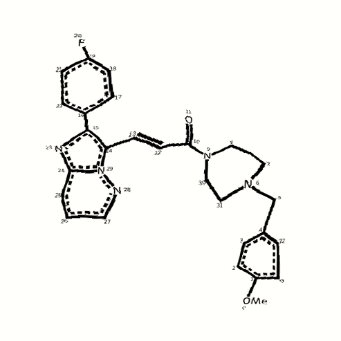 COc1ccc(CN2CCN(C(=O)/C=C/c3c(-c4ccc(F)cc4)nc4cccnn34)CC2)cc1